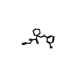 N#CCNC(=O)C1(CSc2cccc(Br)c2)CCCCC1